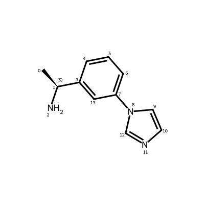 C[C@H](N)c1cccc(-n2ccnc2)c1